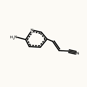 N#C/C=[C]/c1ccc(N)nc1